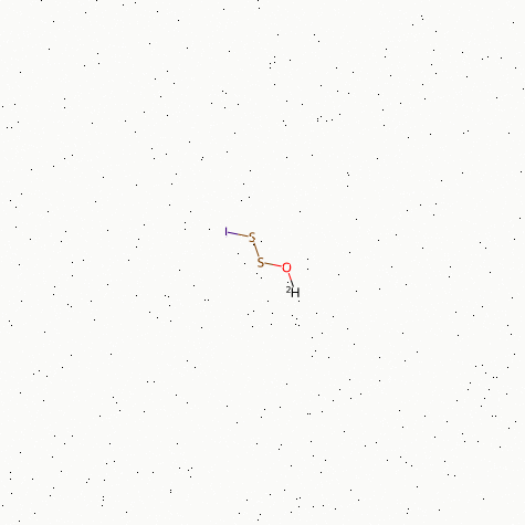 [2H]OSSI